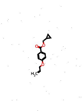 C=CCOc1ccc(C(=O)OCC2CC2)cc1